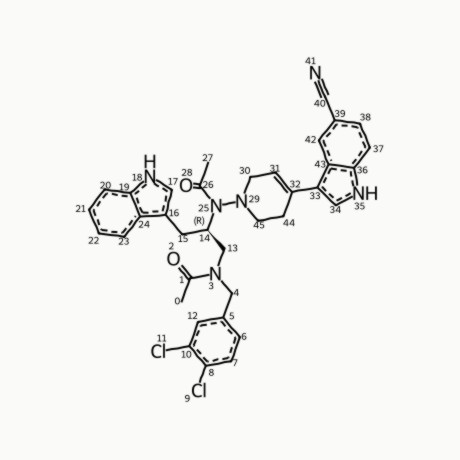 CC(=O)N(Cc1ccc(Cl)c(Cl)c1)C[C@@H](Cc1c[nH]c2ccccc12)N(C(C)=O)N1CC=C(c2c[nH]c3ccc(C#N)cc23)CC1